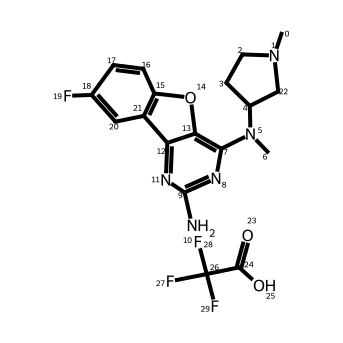 CN1CCC(N(C)c2nc(N)nc3c2oc2ccc(F)cc23)C1.O=C(O)C(F)(F)F